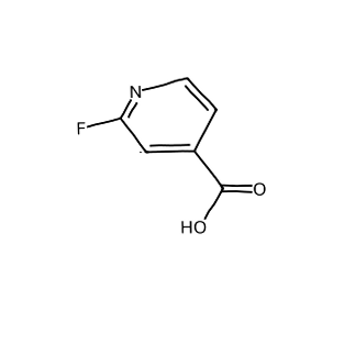 O=C(O)c1[c]c(F)ncc1